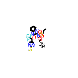 CCCS(=O)(=O)N(COCC[Si](C)(C)C)c1nc2ccccc2nc1OC(c1cnc(SC)nc1)C(F)(F)F